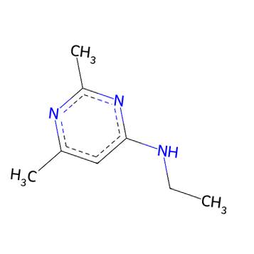 CCNc1cc(C)nc(C)n1